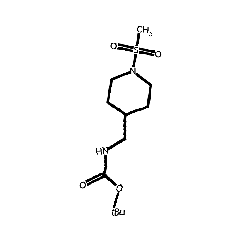 CC(C)(C)OC(=O)NCC1CCN(S(C)(=O)=O)CC1